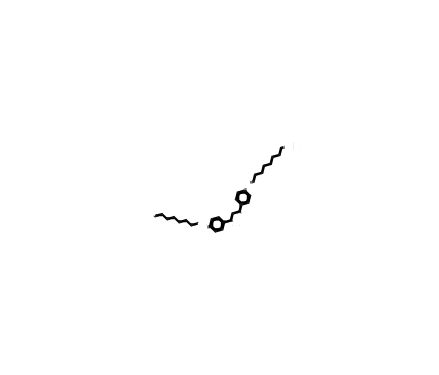 CCCCCCCCCOc1ccc(C(=O)CC(=O)c2ccc(OCCCCCCCCC)cc2)cc1